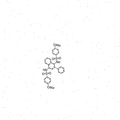 COc1ccc(S(=O)(=O)Nc2cc(-c3ccccc3)c(NS(=O)(=O)c3ccc(OC)cc3)c3ccccc23)cc1